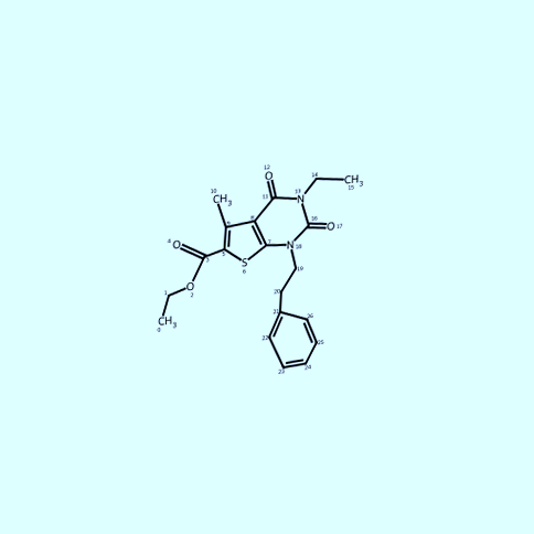 CCOC(=O)c1sc2c(c1C)c(=O)n(CC)c(=O)n2CCc1ccccc1